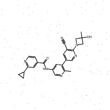 Cc1ncc(NC(=O)c2ccnc(C3CC3)c2)cc1-c1cnc(N2CC(C)(O)C2)c(C#N)c1